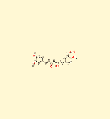 COc1ccc(/C=C/C(O)=C/C(=O)/C=C/c2ccc(OC)c(OC)c2)cc1CO